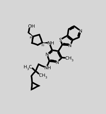 Cc1nc(NCC(C)(C)CC2CC2)nc(N[C@H]2CC[C@@H](CO)C2)c1-c1nc2cnccc2s1